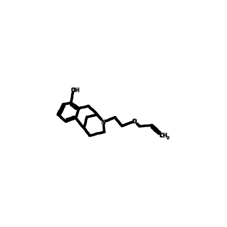 C=CCOCCN1CCC2CC1Cc1c(O)cccc12